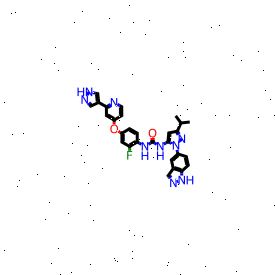 CC(C)c1cc(NC(=O)Nc2ccc(Oc3ccnc(-c4cn[nH]c4)c3)cc2F)n(-c2ccc3[nH]ncc3c2)n1